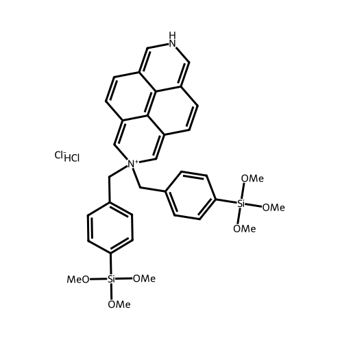 CO[Si](OC)(OC)c1ccc(C[N+]2(Cc3ccc([Si](OC)(OC)OC)cc3)C=c3ccc4c5c(ccc(c35)=C2)=CNC=4)cc1.Cl.[Cl-]